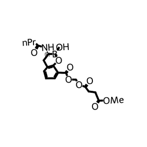 CCCC(=O)N[C@H]1Cc2cccc(C(=O)OCOC(=O)CCC(=O)OC)c2OB1O